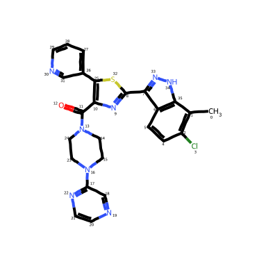 Cc1c(Cl)ccc2c(-c3nc(C(=O)N4CCN(c5cnccn5)CC4)c(-c4cccnc4)s3)n[nH]c12